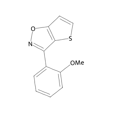 COc1ccccc1-c1noc2ccsc12